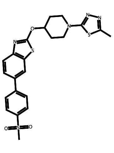 Cc1nnc(N2CCC(Oc3nc4ccc(-c5ccc(S(C)(=O)=O)cc5)cc4s3)CC2)s1